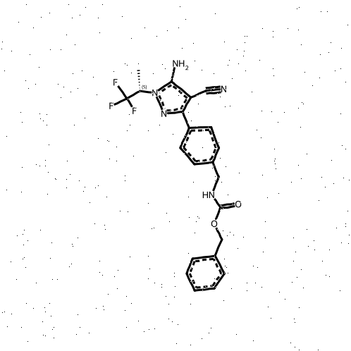 C[C@H](n1nc(-c2ccc(CNC(=O)OCc3ccccc3)cc2)c(C#N)c1N)C(F)(F)F